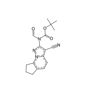 CC(C)(C)OC(=O)N(C=O)c1nn2c3c(ccc2c1C#N)CCC3